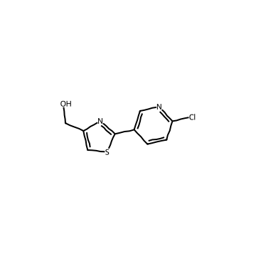 OCc1csc(-c2ccc(Cl)nc2)n1